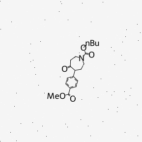 CCCCOC(=O)N1CCC(=O)C(c2ccc(C(=O)OC)cc2)CC1